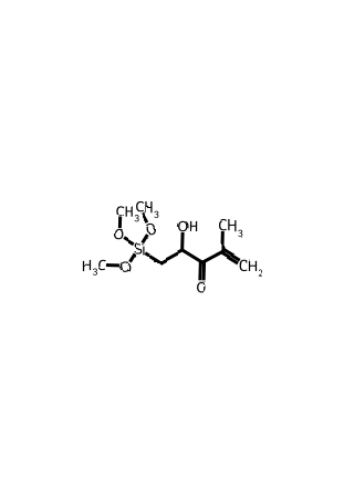 C=C(C)C(=O)C(O)C[Si](OC)(OC)OC